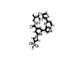 CCN(CC)C(C)CNC(=O)c1cc(-c2cnn3ccc(-c4cccs4)nc23)nc(N2CC(S(C)(=O)=O)C2)c1